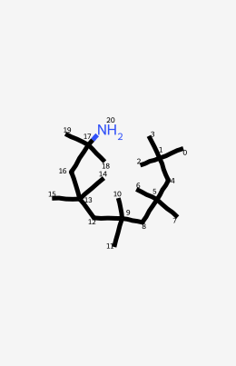 CC(C)(C)CC(C)(C)CC(C)(C)CC(C)(C)CC(C)(C)N